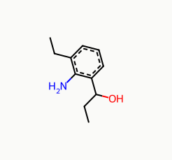 CCc1cccc(C(O)CC)c1N